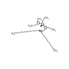 CCCCC1=C(c2cc(CC)cc(CCCC)c2)[N+](=[N-])C(c2cc(CC)cc(CCCC)c2)=C1.CCCCCCCCCCCCCCCCC[CH2][Pd][CH2]CCCCCCCCCCCCCCCCC